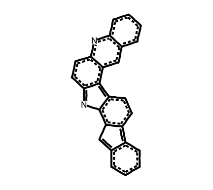 C1=c2ccccc2=c2ccc3c(c21)N=c1ccc2nc4ccccc4cc2c1=3